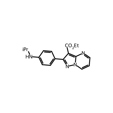 CCOC(=O)c1c(-c2ccc(NC(C)C)cc2)nn2cccnc12